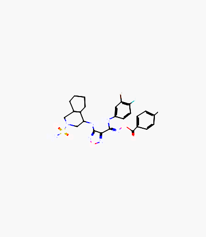 Cc1ccc(C(=O)O/N=C(\Nc2ccc(F)c(Br)c2)c2nonc2NC2CN(S(N)(=O)=O)CC3CCCCC32)cc1